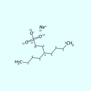 CCCCC(CCCC)CCS(=O)(=O)[O-].[Na+]